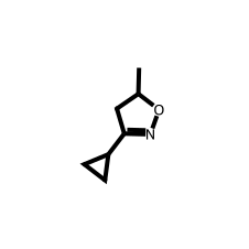 CC1CC(C2CC2)=NO1